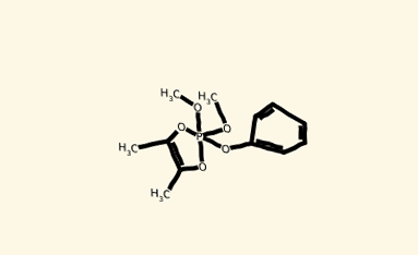 COP1(OC)(Oc2ccccc2)OC(C)=C(C)O1